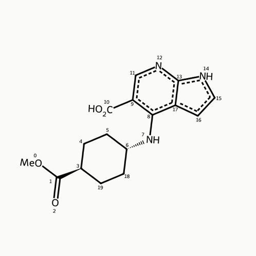 COC(=O)[C@H]1CC[C@H](Nc2c(C(=O)O)cnc3[nH]ccc23)CC1